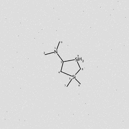 CN(C)C1C[Si](C)(C)C[SiH2]1